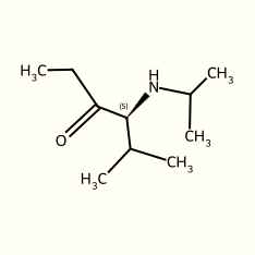 CCC(=O)[C@@H](NC(C)C)C(C)C